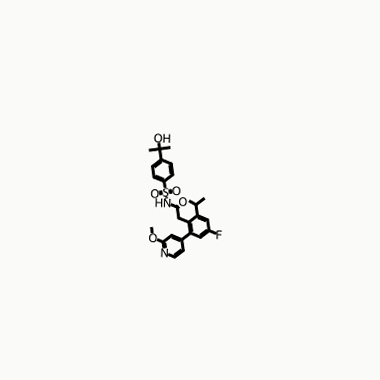 COc1cc(-c2cc(F)cc(C(C)C)c2CC(=O)NS(=O)(=O)c2ccc(C(C)(C)O)cc2)ccn1